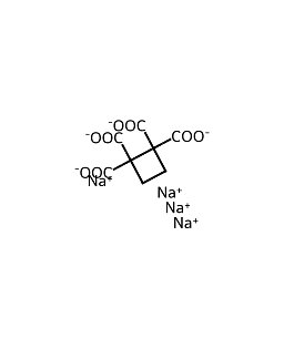 O=C([O-])C1(C(=O)[O-])CCC1(C(=O)[O-])C(=O)[O-].[Na+].[Na+].[Na+].[Na+]